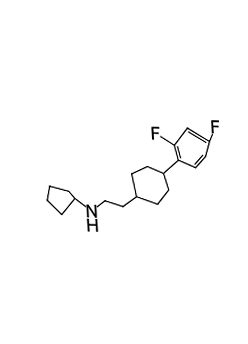 Fc1ccc(C2CCC(CCNC3CCCC3)CC2)c(F)c1